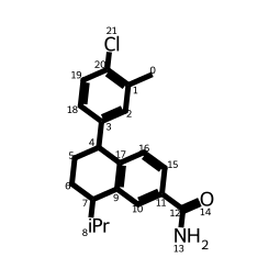 Cc1cc(C2CCC(C(C)C)c3cc(C(N)=O)ccc32)ccc1Cl